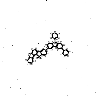 CC1(C)c2ccc(-c3ccc4c(c3)c3cc(-c5ccccc5)ccc3n4-c3ccccc3)cc2-c2ccc3oc4ccccc4c3c21